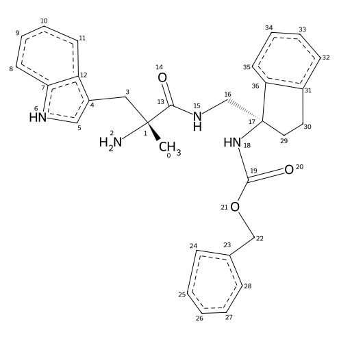 C[C@@](N)(Cc1c[nH]c2ccccc12)C(=O)NC[C@@]1(NC(=O)OCc2ccccc2)CCc2ccccc21